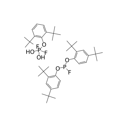 CC(C)(C)c1ccc(OP(F)Oc2ccc(C(C)(C)C)cc2C(C)(C)C)c(C(C)(C)C)c1.CC(C)(C)c1cccc(C(C)(C)C)c1OP(O)(O)(F)F